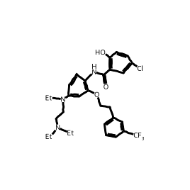 CCN(CC)CCN(CC)c1ccc(NC(=O)c2cc(Cl)ccc2O)c(OCCc2cccc(C(F)(F)F)c2)c1